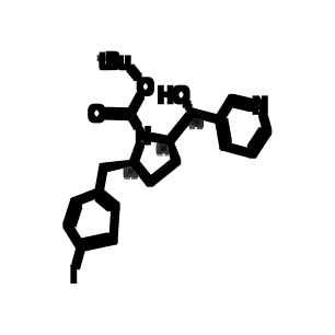 CC(C)(C)OC(=O)N1[C@H](Cc2ccc(I)cc2)CC[C@@H]1[C@H](O)c1cccnc1